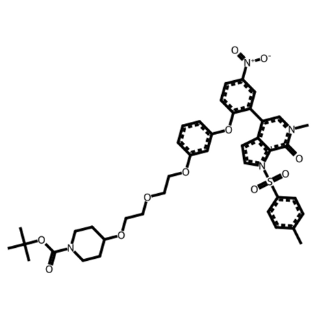 Cc1ccc(S(=O)(=O)n2ccc3c(-c4cc([N+](=O)[O-])ccc4Oc4cccc(OCCOCCOC5CCN(C(=O)OC(C)(C)C)CC5)c4)cn(C)c(=O)c32)cc1